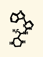 CC(Nc1nccc(-n2cnc3ccccc32)n1)C1CNCCN1